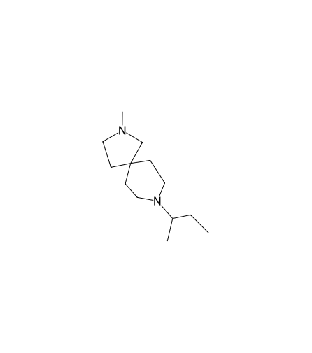 CCC(C)N1CCC2(CCN(C)C2)CC1